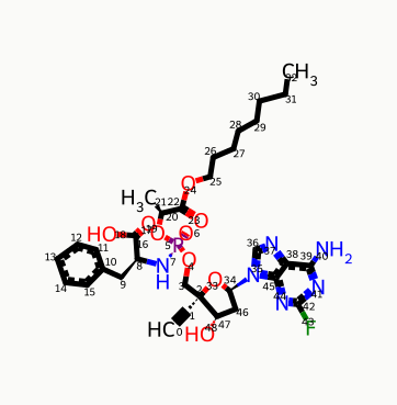 C#C[C@]1(CO[P@@](=O)(N[C@@H](Cc2ccccc2)C(=O)O)O[C@@H](C)C(=O)OCCCCCCCC)O[C@@H](n2cnc3c(N)nc(F)nc32)C[C@@H]1O